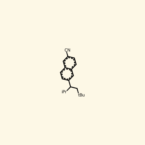 CC(C)C(CC(C)(C)C)c1ccc2cc(C#N)ccc2c1